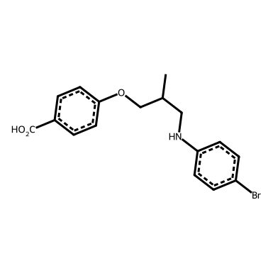 CC(CNc1ccc(Br)cc1)COc1ccc(C(=O)O)cc1